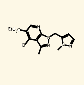 CCOC(=O)c1cnc2c(c(C)nn2Cc2ccnn2C)c1Cl